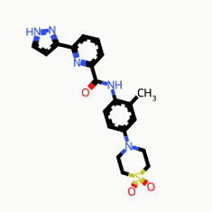 Cc1cc(N2CCS(=O)(=O)CC2)ccc1NC(=O)c1cccc(-c2cc[nH]n2)n1